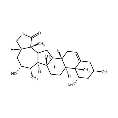 CC(=O)O[C@H]1C[C@H](O)CC2=CC[C@H]3[C@@H]4CC5[C@H]([C@H](C)[C@H](O)C[C@@H]6COC(=O)[C@]56C)[C@@]4(C)CC[C@@H]3[C@]21C